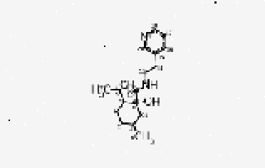 CC1CCC(C(C)C)[C@@](O)(C(=O)NCCc2cccnc2)C1